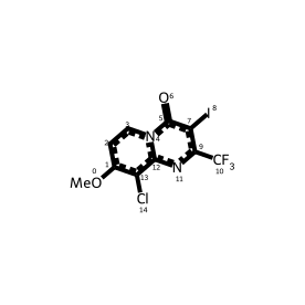 COc1ccn2c(=O)c(I)c(C(F)(F)F)nc2c1Cl